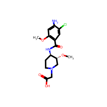 COc1cc(N)c(Cl)cc1C(=O)N[C@@H]1CCN(CC(=O)O)C[C@H]1OC